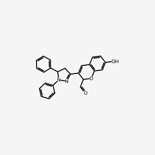 O=CC1Oc2cc(O)ccc2C=C1C1=NN(c2ccccc2)C(c2ccccc2)C1